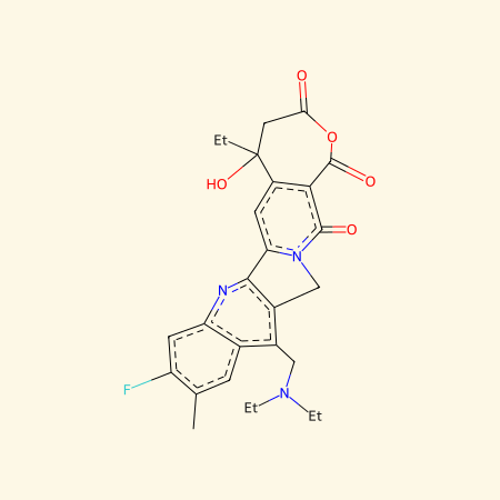 CCN(CC)Cc1c2c(nc3cc(F)c(C)cc13)-c1cc3c(c(=O)n1C2)C(=O)OC(=O)CC3(O)CC